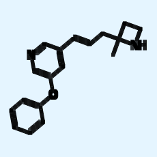 CC1(CC=Cc2cncc(Oc3ccccc3)c2)CCN1